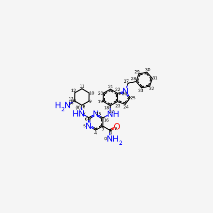 NC(=O)c1cnc(N[C@@H]2CCCC[C@@H]2N)nc1Nc1cccc2c1ccn2Cc1ccccc1